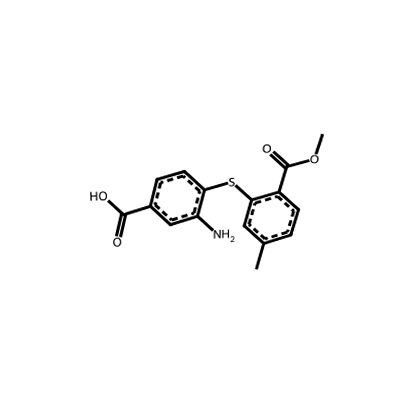 COC(=O)c1ccc(C)cc1Sc1ccc(C(=O)O)cc1N